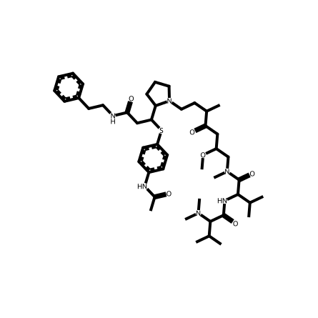 COC(CC(=O)C(C)CCN1CCCC1C(CC(=O)NCCc1ccccc1)Sc1ccc(NC(C)=O)cc1)CN(C)C(=O)C(NC(=O)C(C(C)C)N(C)C)C(C)C